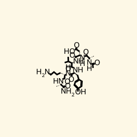 CC(=O)N[C@@H](C)C(=O)N[C@@H](CC(=O)O)C(=O)N[C@H](C(=O)N[C@@H](Cc1ccc(O)cc1)C(=O)N[C@@H](CCCCN)C(=O)N[C@@H](C)C(N)=O)C(C)C